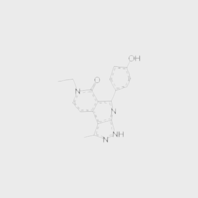 CCn1ccc2c(c(-c3ccc(O)cc3)nc3[nH]nc(C)c32)c1=O